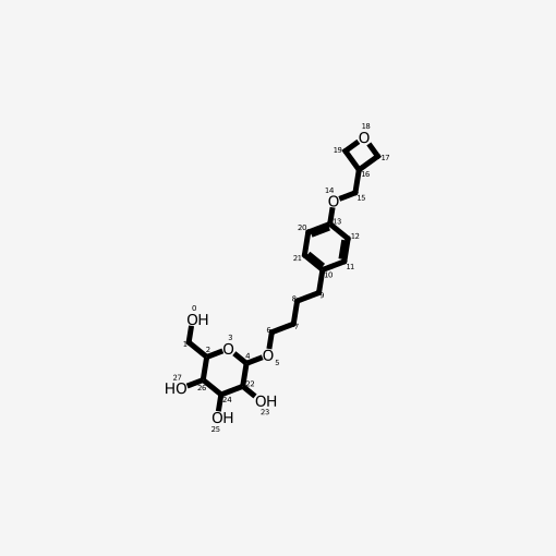 OCC1OC(OCCCCc2ccc(OCC3COC3)cc2)C(O)C(O)C1O